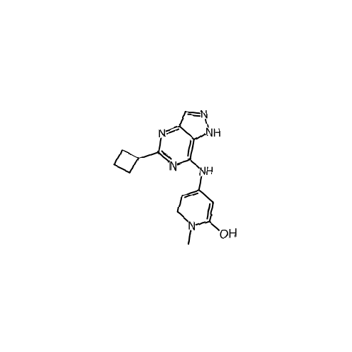 CN1CC=C(Nc2nc(C3CCC3)nc3cn[nH]c23)C=C1O